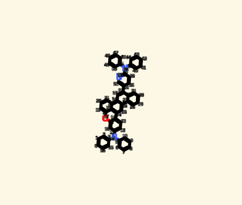 c1ccc(N(c2ccccc2)c2ccc3c(c2)Oc2cccc4c2c-3cc2c3ccccc3c(-c3ccc(N(c5ccccc5)c5ccccc5)nc3)cc42)cc1